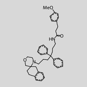 COc1ccc(CCC(=O)NCCCC(CCCN2CCOCC23CCc2ccccc2C3)(c2ccccc2)c2ccccc2)cc1